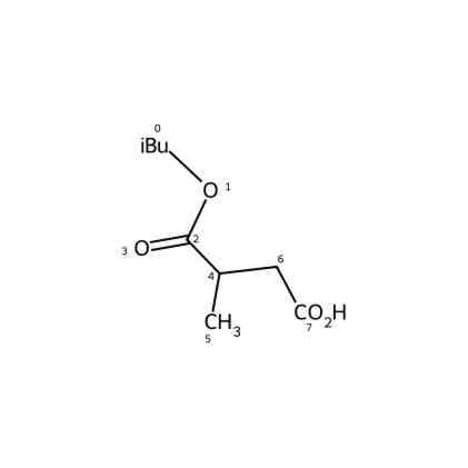 CCC(C)OC(=O)C(C)CC(=O)O